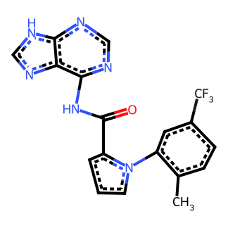 Cc1ccc(C(F)(F)F)cc1-n1cccc1C(=O)Nc1ncnc2[nH]cnc12